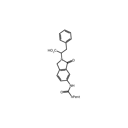 CCCCCC(=O)Nc1ccc2c(c1)C(=O)N(C(Cc1ccccc1)C(=O)O)C2